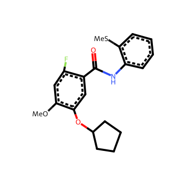 COc1cc(F)c(C(=O)Nc2ccccc2SC)cc1OC1CCCC1